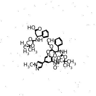 CC(C)(C)OC(=O)NC(CC(=O)O)c1ccccc1.CCOC(=O)[C@H](Oc1ncc(-c2cnn(C)c2)cc1[N+](=O)[O-])[C@H](NC(=O)OC(C)(C)C)c1ccccc1